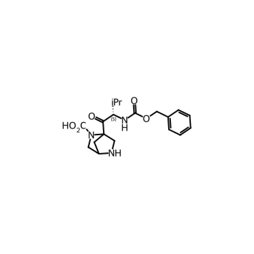 CC(C)[C@H](NC(=O)OCc1ccccc1)C(=O)C12CNC(CN1C(=O)O)C2